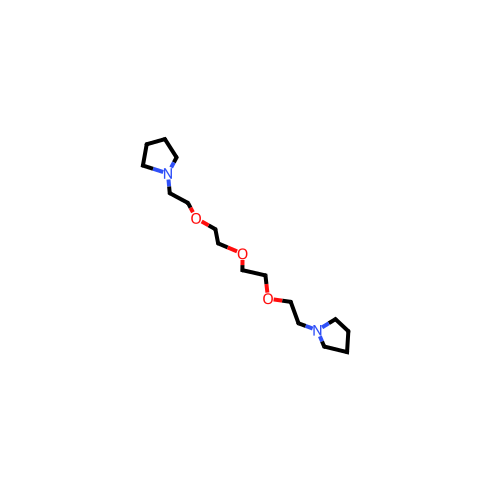 C1CCN(CCOCCOCCOCCN2CCCC2)C1